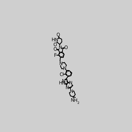 CC1(N)CCN(c2cnc3c(-c4cccc(N5CCN(Cc6ccc7c(c6F)C(=O)N(C6CCC(=O)NC6=O)C7=O)CC5)c4Cl)n[nH]c3n2)CC1